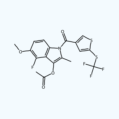 COc1ccc2c(c1F)c(OC(C)=O)c(C)n2C(=O)c1csc(SC(F)(F)F)c1